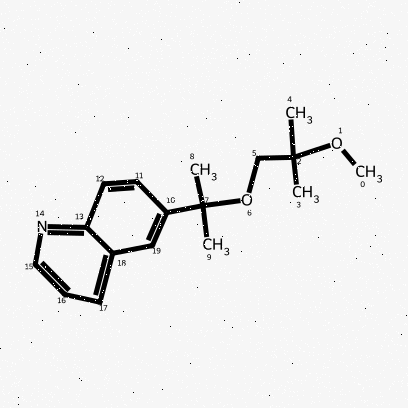 COC(C)(C)COC(C)(C)c1ccc2ncccc2c1